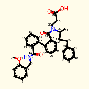 COc1ccccc1CNC(=O)c1ccccc1-c1ccccc1C(=O)N(CCC(=O)O)C(C)CCc1ccccc1